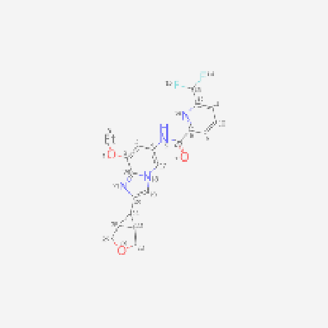 CCOc1cc(NC(=O)c2cccc(C(F)F)n2)cn2cc(C3C4COCC43)nc12